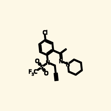 C#CCN(c1ccc(Cl)cc1C(C)=NN1CCCCC1)S(=O)(=O)C(F)(F)F